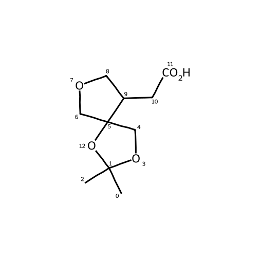 CC1(C)OCC2(COCC2CC(=O)O)O1